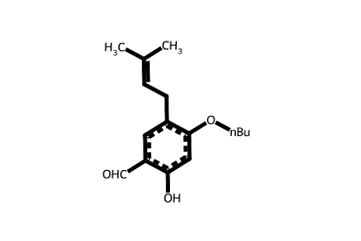 CCCCOc1cc(O)c(C=O)cc1CC=C(C)C